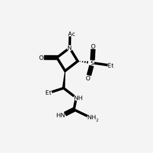 CCC(NC(=N)N)[C@H]1C(=O)N(C(C)=O)[C@@H]1S(=O)(=O)CC